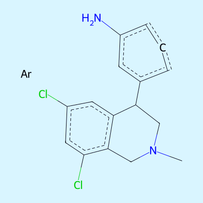 CN1Cc2c(Cl)cc(Cl)cc2C(c2cccc(N)c2)C1.[Ar]